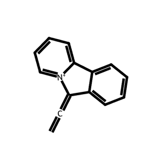 C=C=C1c2ccccc2-c2cccc[n+]21